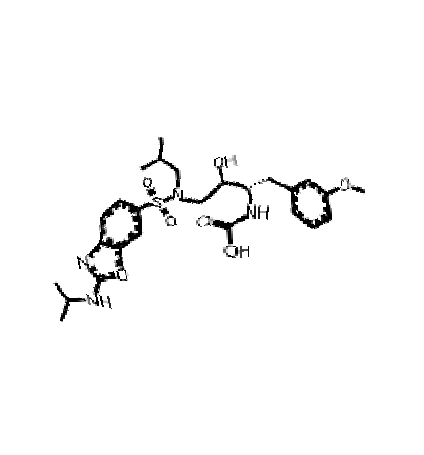 COc1cccc(C[C@H](NC(=O)O)[C@H](O)CN(CC(C)C)S(=O)(=O)c2ccc3nc(NC(C)C)oc3c2)c1